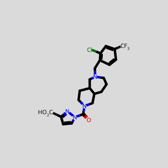 O=C(O)c1ccn(C(=O)N2CCC3CN(Cc4ccc(C(F)(F)F)cc4Cl)CCCC3C2)n1